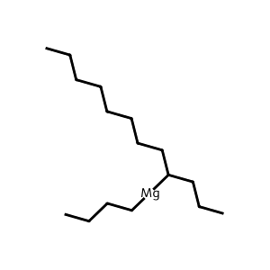 CCCCCCCC[CH](CCC)[Mg][CH2]CCC